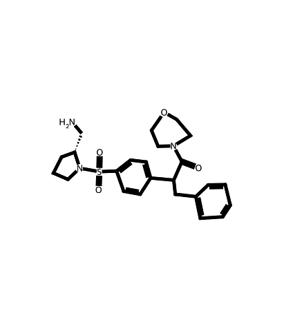 NC[C@H]1CCCN1S(=O)(=O)c1ccc(C(Cc2ccccc2)C(=O)N2CCOCC2)cc1